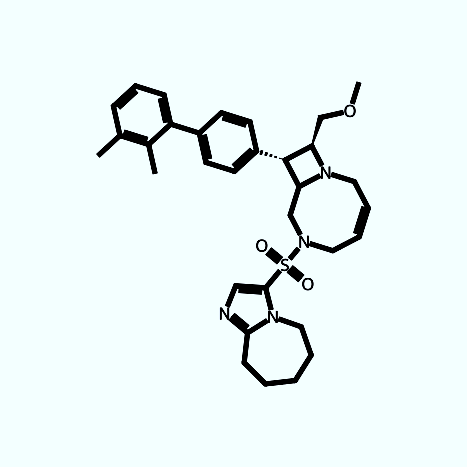 COC[C@@H]1[C@@H](c2ccc(-c3cccc(C)c3C)cc2)C2CN(S(=O)(=O)c3cnc4n3CCCCC4)C/C=C\CN21